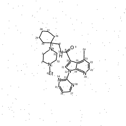 CCN1CCN(C2(CNC(=O)c3cn(-c4ncccn4)c4nccc(C)c34)CCCCC2)CC1